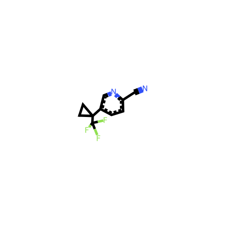 N#Cc1ccc(C2(C(F)(F)F)CC2)cn1